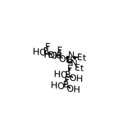 CCc1nccn1CC.OB(O)F.OB(O)F.OB(O)F.OB(O)F